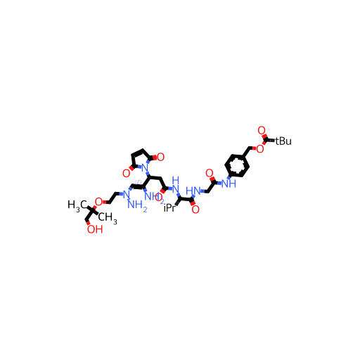 CC(C)C(NC(=O)CC(/C(N)=C/N(N)CCOC(C)(C)CO)N1C(=O)C=CC1=O)C(=O)NCC(=O)Nc1ccc(COC(=O)C(C)(C)C)cc1